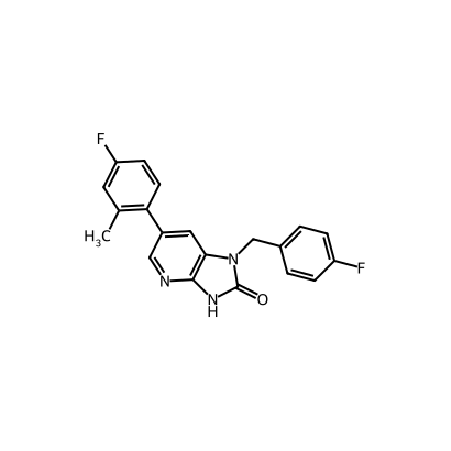 Cc1cc(F)ccc1-c1cnc2[nH]c(=O)n(Cc3ccc(F)cc3)c2c1